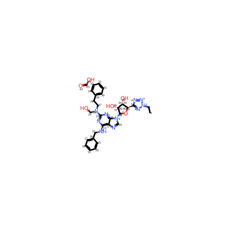 CCn1nnc([C@H]2O[C@@H](n3cnc4c(NCc5ccccc5)nc(N(CO)CCc5ccccc5)nc43)[C@H](O)[C@@H]2O)n1.O=CO